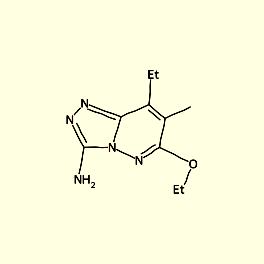 CCOc1nn2c(N)nnc2c(CC)c1C